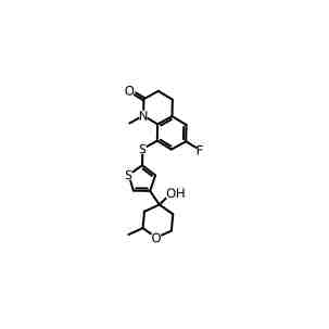 CC1CC(O)(c2csc(Sc3cc(F)cc4c3N(C)C(=O)CC4)c2)CCO1